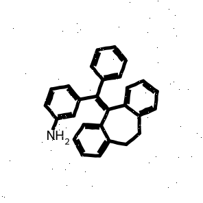 Nc1cccc(C(=C2c3ccccc3CCc3ccccc32)c2ccccc2)c1